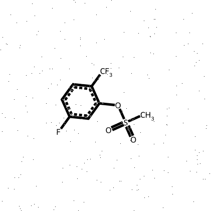 CS(=O)(=O)Oc1cc(F)ccc1C(F)(F)F